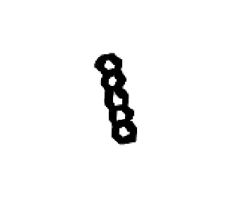 [c]1ccc2cc3cc4cc5[c]cccc5cc4cc3cc2c1